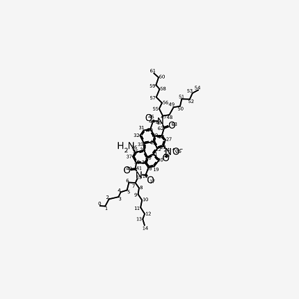 CCCCCCCC(CCCCCCC)N1C(=O)c2ccc3c4c([N+](=O)[O-])cc5c6c(ccc(c7c(N)cc(c2c37)C1=O)c64)C(=O)N(C(CCCCCCC)CCCCCCC)C5=O